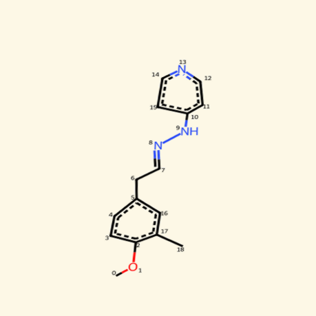 COc1ccc(CC=NNc2ccncc2)cc1C